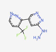 NNc1cc(-c2nnccc2C(F)(F)F)cnn1